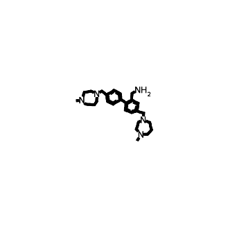 CN1CCCN(Cc2ccc(-c3ccc(CN4CCCN(C)CC4)cc3CN)cc2)CC1